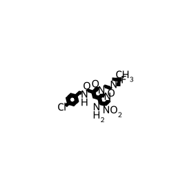 CC1(F)CN(C(=O)Cn2c(=O)c(C(=O)NCc3ccc(Cl)cc3)cc3c(N)c([N+](=O)[O-])cnc32)C1